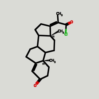 CC(C(=O)Cl)=C1CCC2C3CCC4=CC(=O)CC[C@]4(C)C3CC[C@]12C